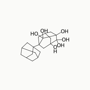 OC12CC3CC(O)(C1(O)O)C(O)(O)C(C14CC5CC(CC(C5)C1)C4)(C3)C2